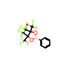 FC(F)(F)C1(C(F)(F)F)OB(c2ccccc2)OC1(C(F)(F)F)C(F)(F)F